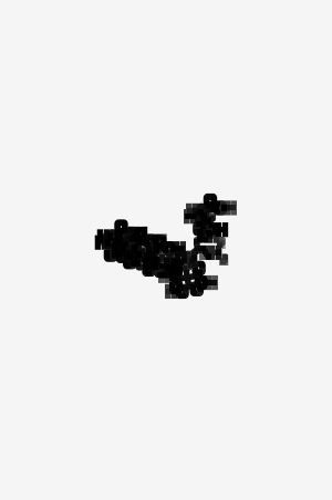 NCC(N)CCC(C(C(=O)O)(C(=O)O)C(=O)O)P(=O)(O)O.O=P(O)(O)CP(=O)(O)O.O=P(O)(O)CP(=O)(O)O.O=P(O)(O)CP(=O)(O)O.O=P(O)(O)CP(=O)(O)O